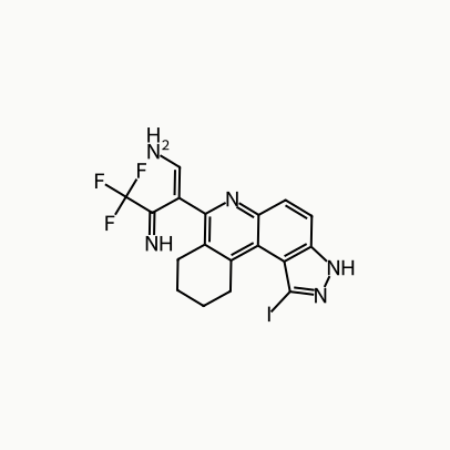 N=C(/C(=C\N)c1nc2ccc3[nH]nc(I)c3c2c2c1CCCC2)C(F)(F)F